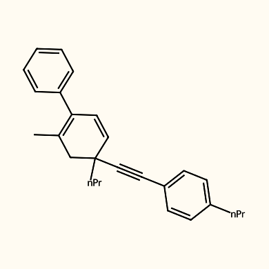 CCCc1ccc(C#CC2(CCC)C=CC(c3ccccc3)=C(C)C2)cc1